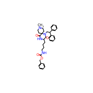 CN1CCC2(CC1)C(=O)NC(CCCCNC(=O)OCc1ccccc1)C(=O)N2CC(c1ccccc1)c1ccccc1